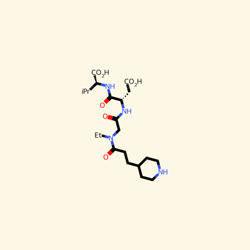 CCN(CC(=O)N[C@@H](CC(=O)O)C(=O)N[C@H](C(=O)O)C(C)C)C(=O)CCC1CCNCC1